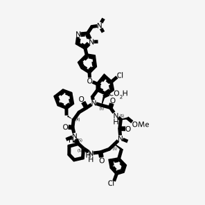 COC[C@@H]1NC(=O)[C@H](CC(=O)O)N(Cc2ccc(Cl)cc2Oc2ccc(-c3cnc(CN(C)C)n3C)cc2)C(=O)C[C@@H](Cc2ccccc2)C(=O)N(C)[C@H]2CCCC[C@@H]2NC(=O)C[C@H](Cc2ccc(Cl)cc2)N(C)C1=O